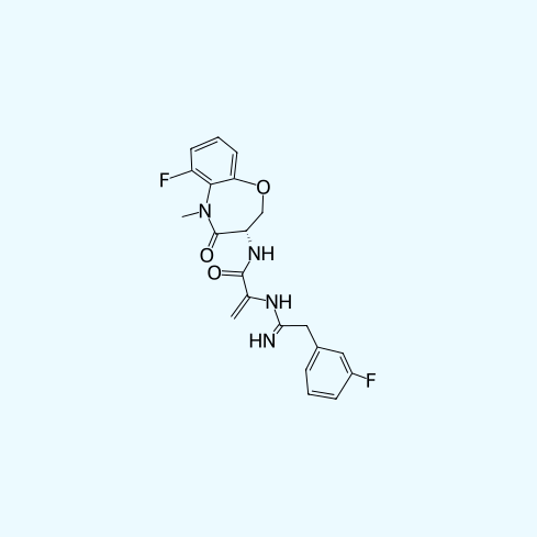 C=C(NC(=N)Cc1cccc(F)c1)C(=O)N[C@H]1COc2cccc(F)c2N(C)C1=O